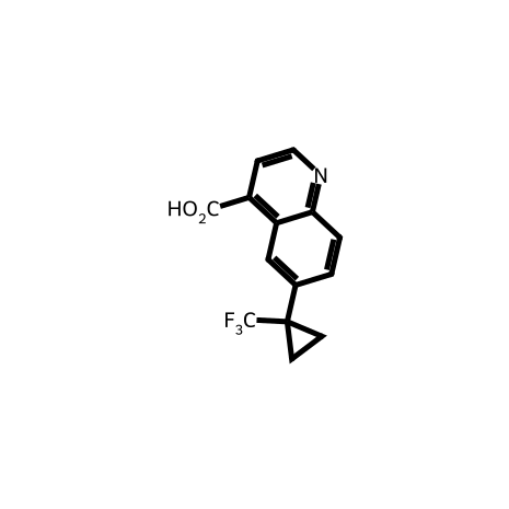 O=C(O)c1ccnc2ccc(C3(C(F)(F)F)CC3)cc12